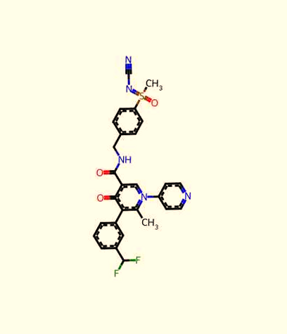 Cc1c(-c2cccc(C(F)F)c2)c(=O)c(C(=O)NCc2ccc(S(C)(=O)=NC#N)cc2)cn1-c1ccncc1